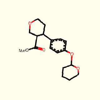 COC(=O)C1COCCC1c1ccc(OC2CCCCO2)cc1